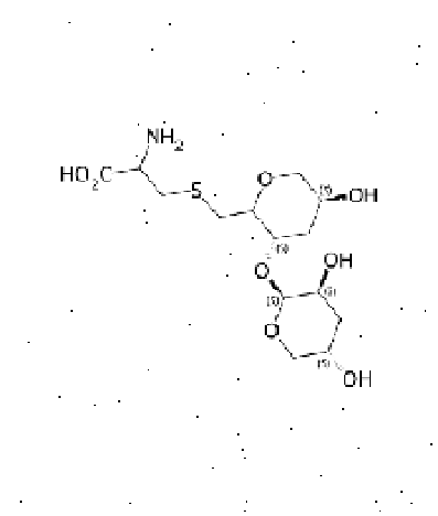 NC(CSCC1OC[C@@H](O)C[C@@H]1O[C@@H]1OC[C@@H](O)C[C@@H]1O)C(=O)O